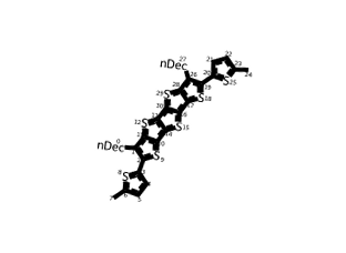 CCCCCCCCCCc1c(-c2ccc(C)s2)sc2c1sc1c2sc2c3sc(-c4ccc(C)s4)c(CCCCCCCCCC)c3sc21